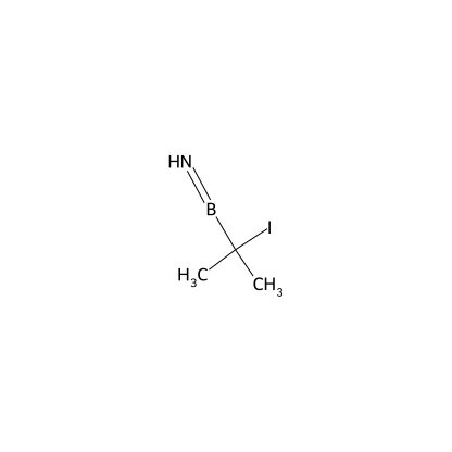 CC(C)(I)B=N